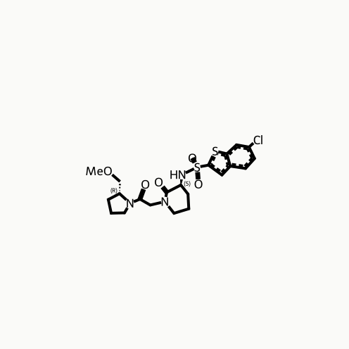 COC[C@H]1CCCN1C(=O)CN1CCC[C@H](NS(=O)(=O)c2cc3ccc(Cl)cc3s2)C1=O